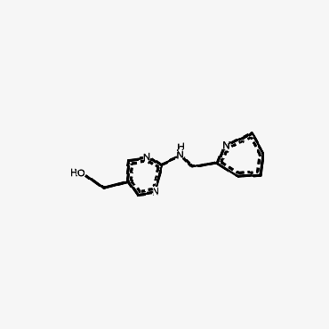 OCc1cnc(NCc2ccccn2)nc1